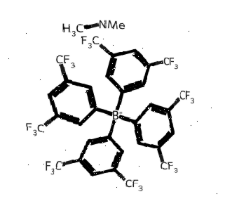 C[NH2+]C.FC(F)(F)c1cc([B-](c2cc(C(F)(F)F)cc(C(F)(F)F)c2)(c2cc(C(F)(F)F)cc(C(F)(F)F)c2)c2cc(C(F)(F)F)cc(C(F)(F)F)c2)cc(C(F)(F)F)c1